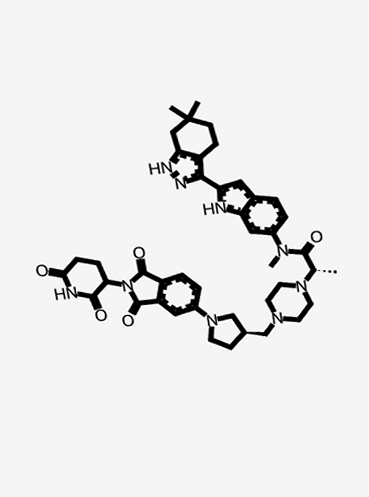 C[C@@H](C(=O)N(C)c1ccc2cc(-c3n[nH]c4c3CCC(C)(C)C4)[nH]c2c1)N1CCN(C[C@H]2CCN(c3ccc4c(c3)C(=O)N(C3CCC(=O)NC3=O)C4=O)C2)CC1